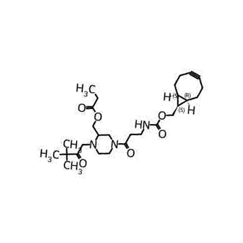 CCC(=O)OCC1CN(C(=O)CCNC(=O)OC[C@@H]2[C@@H]3CCC#CCC[C@@H]32)CCN1CC(=O)C(C)(C)C